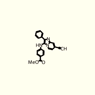 C#Cc1ccn2c(Nc3ccc(C(=O)OC)cc3)c(-c3ccccc3)nc2c1